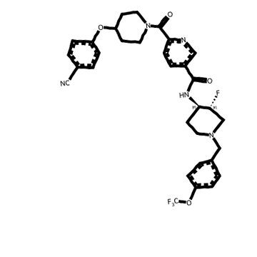 N#Cc1ccc(OC2CCN(C(=O)c3ccc(C(=O)N[C@@H]4CCN(Cc5ccc(OC(F)(F)F)cc5)C[C@H]4F)cn3)CC2)cc1